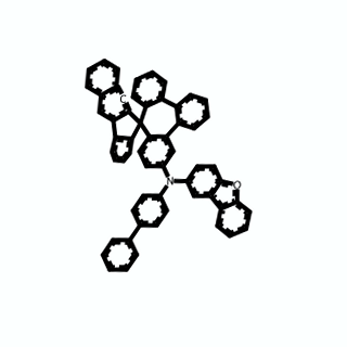 c1ccc(-c2ccc(N(c3ccc4c(c3)-c3ccccc3-c3ccccc3C43c4ccccc4-c4cc5ccccc5cc43)c3ccc4oc5ccccc5c4c3)cc2)cc1